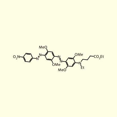 CCOC(=O)CCCN(CC)c1cc(OC)c(N=Nc2cc(OC)c(N=Nc3ccc([N+](=O)[O-])cc3)cc2OC)cc1OC